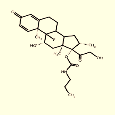 CCCNC(=O)O[C@@]1(C(=O)CO)[C@@H](C)CC2C3CCC4=CC(=O)C=C[C@]4(C)C3(F)[C@@H](O)C[C@@]21C